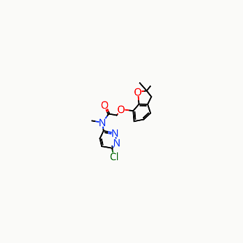 CN(C(=O)COc1cccc2c1OC(C)(C)C2)c1ccc(Cl)nn1